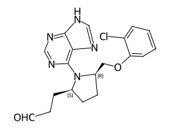 O=CCC[C@@H]1CC[C@H](COc2ccccc2Cl)N1c1ncnc2[nH]cnc12